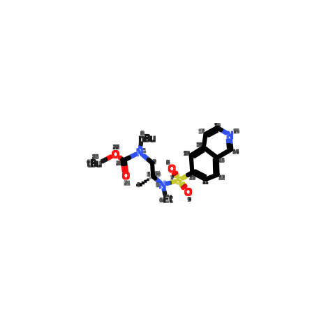 CCCCN(C[C@@H](C)N(CC)S(=O)(=O)c1ccc2cnccc2c1)C(=O)OC(C)(C)C